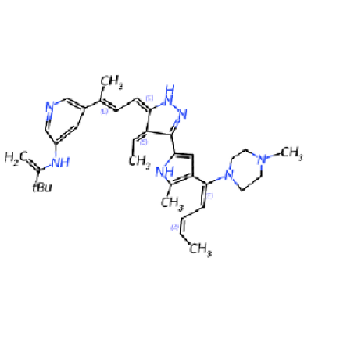 C=C(Nc1cncc(/C(C)=C/C=c2/[nH]nc(-c3cc(/C(=C\C=C/C)N4CCN(C)CC4)c(C)[nH]3)/c2=C\C)c1)C(C)(C)C